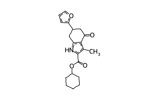 Cc1c(C(=O)OC2CCCCC2)[nH]c2c1C(=O)CC(c1ccco1)C2